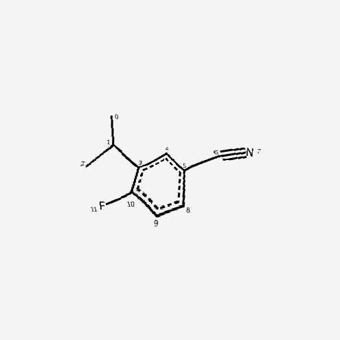 CC(C)c1cc(C#N)ccc1F